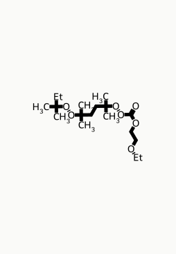 CCOCCOC(=O)OOC(C)(C)CCC(C)(C)OOC(C)(C)CC